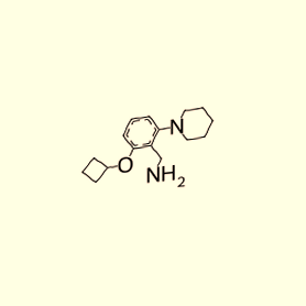 NCc1c(OC2CCC2)cccc1N1CCCCC1